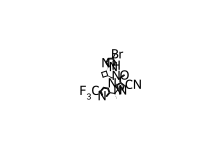 C[C@H](c1ccc(C(F)(F)F)nc1)n1nc(C#N)c2c(=O)[nH]c([C@H]3CC[C@@H]3c3ncc(Br)cn3)nc21